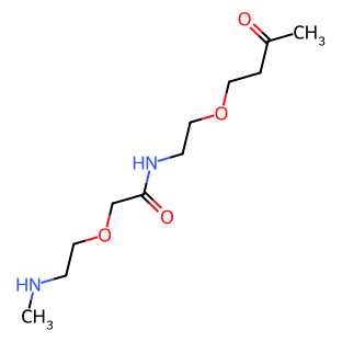 CNCCOCC(=O)NCCOCCC(C)=O